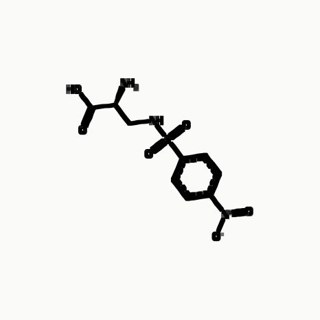 N[C@@H](CNS(=O)(=O)c1ccc([N+](=O)[O-])cc1)C(=O)O